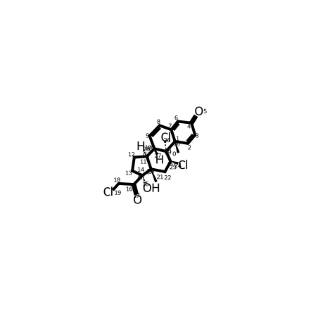 C[C@]12C=CC(=O)C=C1C=C[C@H]1[C@@H]3CC[C@](O)(C(=O)CCl)[C@@]3(C)C[C@H](Cl)[C@@]12Cl